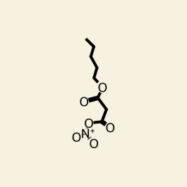 CCCCCOC(=O)CC(=O)O[N+](=O)[O-]